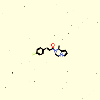 CC1c2cccn2CCN1C(=O)C=Cc1ccc(F)cc1